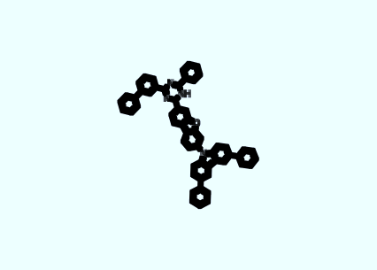 c1ccc(C2=NC(c3cccc(-c4ccccc4)c3)=NC(c3ccc4c(c3)oc3cc(-n5c6ccc(-c7ccccc7)cc6c6cc(-c7ccccc7)ccc65)ccc34)N2)cc1